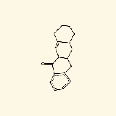 O=C1c2ccccc2CC2CC3CCCCC3=CC12